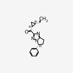 C=C[C@H]1C[C@H]1C(=O)c1nc2n(n1)[C@@H](c1ccccc1)CC2